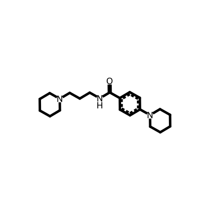 O=C(NCCCN1CCCCC1)c1ccc(N2CCCCC2)cc1